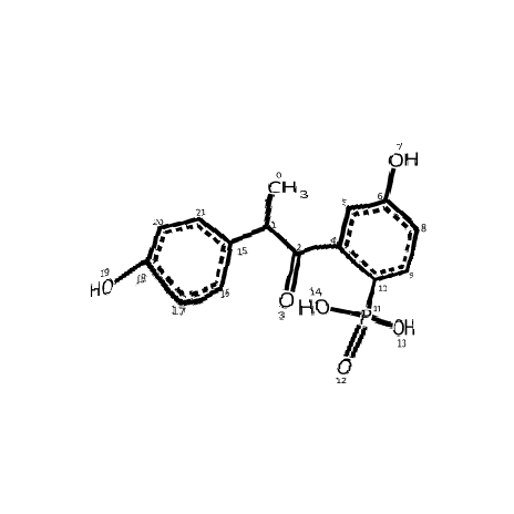 CC(C(=O)c1cc(O)ccc1P(=O)(O)O)c1ccc(O)cc1